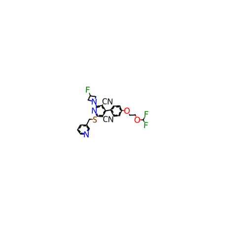 N#Cc1c(SCc2cccnc2)nc(N2CC(F)C2)c(C#N)c1-c1ccc(OCCOC(F)F)cc1